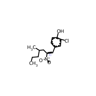 CCCC(C)C/C(=C\c1ccc(O)c(Cl)c1)[N+](=O)[O-]